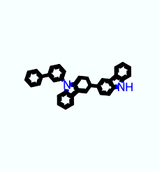 C1=c2c(n(-c3cccc(-c4ccccc4)c3)c3ccccc23)=CCC1c1ccc2[nH]c3ccccc3c2c1